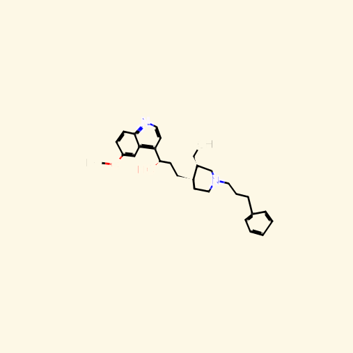 CC[C@H]1CN(CCCc2ccccc2)CC[C@H]1CC[C@@H](O)c1ccnc2ccc(OC)cc12